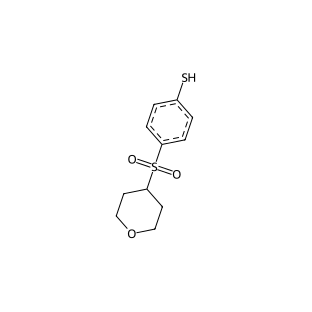 O=S(=O)(c1ccc(S)cc1)C1CCOCC1